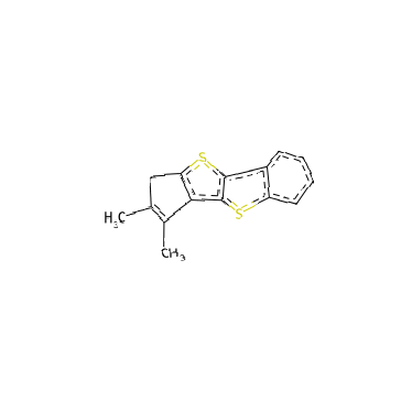 CC1=C(C)c2c(sc3c2sc2ccccc23)C1